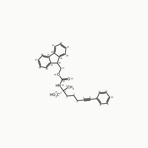 C[C@@](CCCC#Cc1ccccc1)(NC(=O)OCC1c2ccccc2-c2ccccc21)C(=O)O